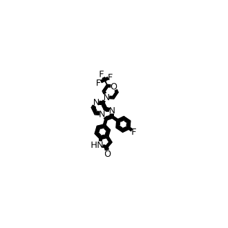 O=C1Cc2cc(-c3c(-c4ccc(F)cc4)nc4c(N5CCO[C@H](C(F)(F)F)C5)nccn34)ccc2N1